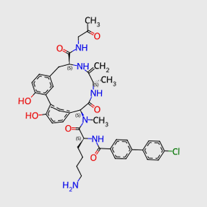 C=C1N[C@H](C(=O)NCC(C)=O)Cc2ccc(O)c(c2)-c2cc(ccc2O)[C@H](N(C)C(=O)[C@H](CCCCN)NC(=O)c2ccc(-c3ccc(Cl)cc3)cc2)C(=O)N[C@H]1C